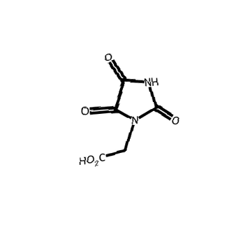 O=C(O)CN1C(=O)NC(=O)C1=O